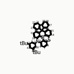 CC(C)(C)c1cc(N2c3cccc4c3B3c5c(cccc5C(c5ccccc5)(c5ccccc5)c5cccc2c53)S4)cc(C(C)(C)C)c1